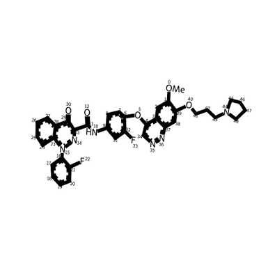 COc1cc2c(Oc3ccc(NC(=O)c4nn(-c5ccccc5F)c5ccccc5c4=O)cc3F)cnnc2cc1OCCCN1CCCC1